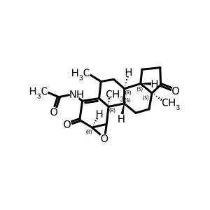 CC(=O)NC1=C2C(C)C[C@H]3[C@@H]4CCC(=O)[C@@]4(C)CC[C@@H]3[C@@]2(C)C2O[C@H]2C1=O